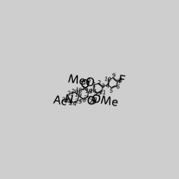 COc1cc(-c2ccc(F)cc2)cc(OC)c1C1C(=O)CC2(CCN(C(C)=O)CC2)CC1=O